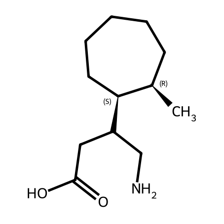 C[C@@H]1CCCCC[C@@H]1C(CN)CC(=O)O